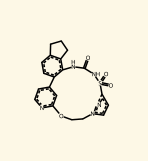 O=C1Nc2c(ccc3c2CCC3)-c2ccnc(c2)OCCn2ccc(n2)S(=O)(=O)N1